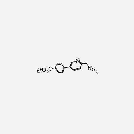 CCOC(=O)c1ccc(-c2ccc(CN)nc2)cc1